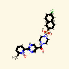 Cc1cccc(-c2ncc(C(=O)N3CCN(S(=O)(=O)c4ccc5cc(Cl)ccc5c4)CC3)cn2)[n+]1[O-]